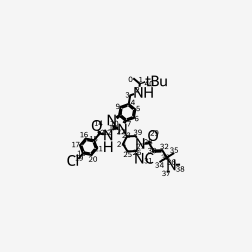 C[C@H](NCc1ccc2c(c1)nc(NC(=O)c1ccc(Cl)cc1)n2C1CCCN(C(=O)/C(C#N)=C/C(C)(C)N(C)C)C1)C(C)(C)C